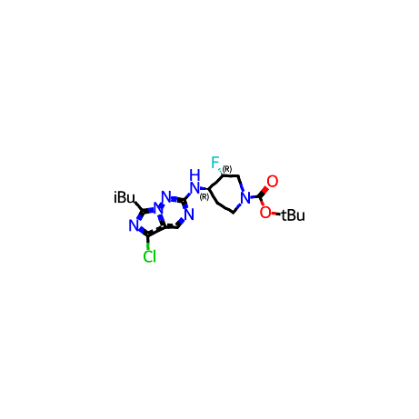 CCC(C)c1nc(Cl)c2cnc(N[C@@H]3CCN(C(=O)OC(C)(C)C)C[C@H]3F)nn12